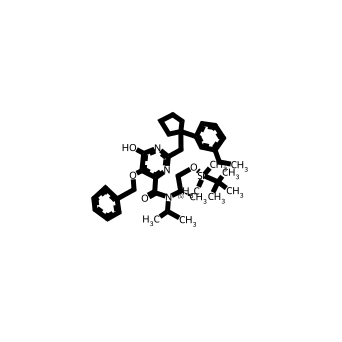 CCc1cccc(C2(Cc3nc(O)c(OCc4ccccc4)c(C(=O)N(C(C)C)[C@@H](C)CO[Si](C)(C)C(C)(C)C)n3)CCCC2)c1